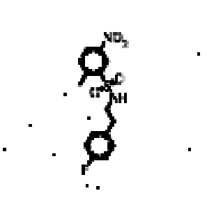 Cc1ccc([N+](=O)[O-])cc1S(=O)(=O)NCCc1ccc(F)cc1